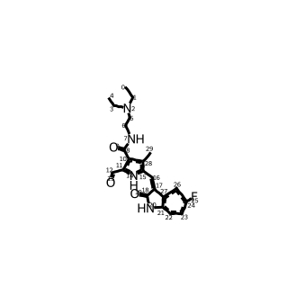 CCN(CC)CCNC(=O)c1c(C=O)[nH]c(C=C2C(=O)Nc3ccc(F)cc32)c1C